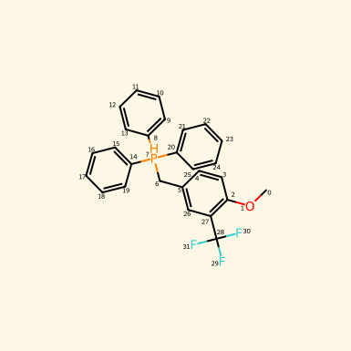 COc1ccc(C[PH](c2ccccc2)(c2ccccc2)c2ccccc2)cc1C(F)(F)F